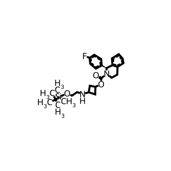 CC(C)(C)[Si](C)(C)OCCNC1CC(OC(=O)N2CCc3ccccc3[C@@H]2c2ccc(F)cc2)C1